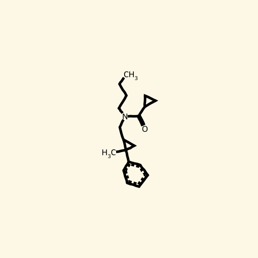 CCCCN(CC1CC1(C)c1ccccc1)C(=O)C1CC1